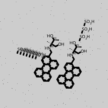 CS(=O)(=O)O.CS(=O)(=O)O.CS(=O)(=O)O.CS(=O)(=O)O.CS(=O)(=O)O.CS(=O)(=O)O.CS(=O)(=O)O.CS(=O)(=O)O.CS(=O)(=O)O.CS(=O)(=O)O.C[C@H](O)[C@@](C)(CO)NCc1ccc2c3cccc4cccc(c5cccc1c52)c43.C[C@H](O)[C@@](C)(CO)NCc1ccc2c3cccc4cccc(c5cccc1c52)c43